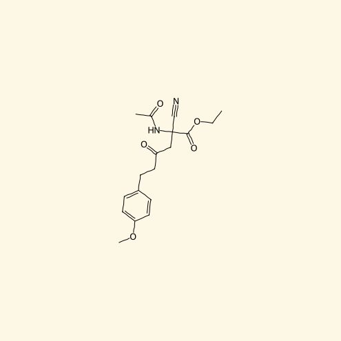 CCOC(=O)C(C#N)(CC(=O)CCc1ccc(OC)cc1)NC(C)=O